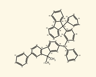 CC1(C)c2cc(-c3ccccc3)ccc2-c2ccc(N(c3ccccc3)c3cccc(C4(c5ccccc5)c5ccccc5-c5ccccc54)c3)cc21